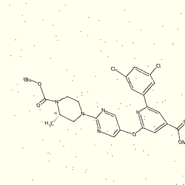 COC(=O)c1cc(Oc2cnc(N3CCN(C(=O)OC(C)(C)C)[C@@H](C)C3)nc2)nc(-c2cc(Cl)cc(Cl)c2)c1